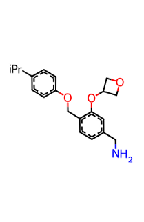 CC(C)c1ccc(OCc2ccc(CN)cc2OC2COC2)cc1